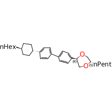 CCCCCC[C@H]1CC[C@H](c2ccc(-c3ccc([C@@H]4CO[C@@H](CCCCC)CO4)cc3)cc2)CC1